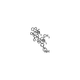 CC(=O)NC(C(=O)N1CC(=O)C2C1CCN2C(=O)C(CC(C)C)NC(=O)c1ccc(N2CCNCC2)cc1)C1CCCC1